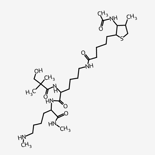 CNCCCCC(NC(=O)C(CCCCNC(=O)CCCCC1SCC(C)C1NC(C)=O)NC(=O)C(C)(C)CO)C(=O)NC